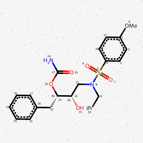 COc1ccc(S(=O)(=O)N(CC(C)C)C[C@H](O)[C@H](Cc2ccccc2)OC(N)=O)cc1